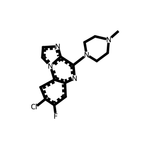 CN1CCN(c2nc3cc(F)c(Cl)cc3n3ccnc23)CC1